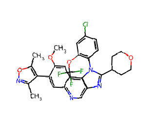 COc1cc2c(cc1-c1c(C)noc1C)ncc1nc(C3CCOCC3)n(-c3ccc(Cl)cc3OC(F)(F)F)c12